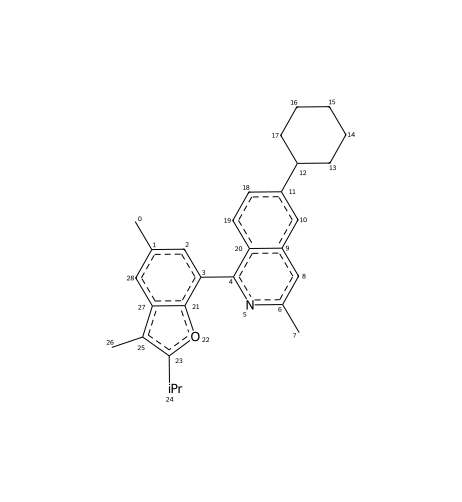 Cc1cc(-c2nc(C)cc3cc(C4CCCCC4)ccc23)c2oc(C(C)C)c(C)c2c1